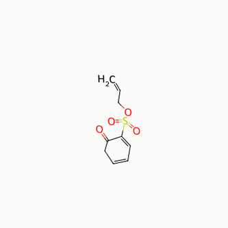 C=CCOS(=O)(=O)C1=CC=CCC1=O